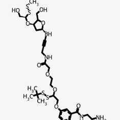 CSS[C@H](CO)O[C@@H]1C[C@H](BC#CCNC(=O)COCCOC(COc2cccc(C(=O)NCCN)c2)SSC(C)(C)C)OC1CO